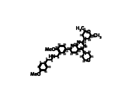 COc1ccc(CCNCc2cc(-c3ccc4c(N5CCOCC5)nc(N5C[C@@H](C)O[C@@H](C)C5)nc4n3)ccc2OC)cc1